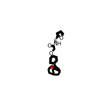 O=C(COc1ccc(C23CC4CC(CC(C4)C2)C3)cc1)NCc1ccco1